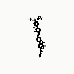 C=CCCOc1ccc(C2=CCC(CCc3ccc(-c4ccc(C(O)CCC)cc4)c(F)c3F)CC2)c(F)c1F